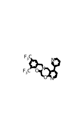 O=C1COc2nccc(-c3cccnc3)c2CN1Cc1cc(C(F)(F)F)cc(C(F)(F)F)c1